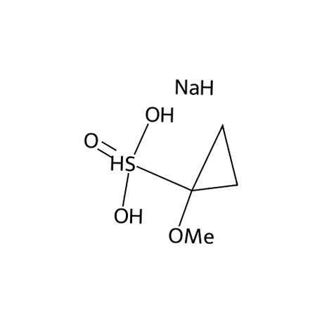 COC1([SH](=O)(O)O)CC1.[NaH]